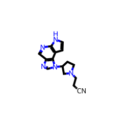 N#CCCN1CCC(n2cnc3cnc4[nH]ccc4c32)C1